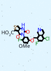 COc1cc(F)c(-n2c(=O)[nH]c3csc(C(=O)O)c3c2=O)cc1OCc1c(F)cc(Cl)c2ccncc12